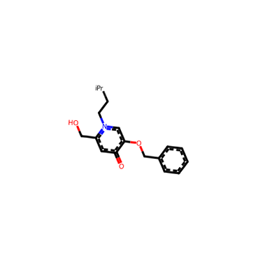 CC(C)CCn1cc(OCc2ccccc2)c(=O)cc1CO